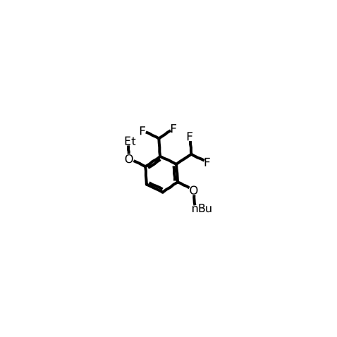 CCCCOc1ccc(OCC)c(C(F)F)c1C(F)F